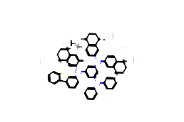 CC1(C)CCC(C)(C)c2cc(N3c4cc5c(cc4B4c6cc7c(cc6N(c6cccc8c6sc6ccccc68)c6cc(N(c8ccccc8)c8ccccc8)cc3c64)C(C)(C)CCC7(C)C)C(C)(C)CCC5(C)C)ccc21